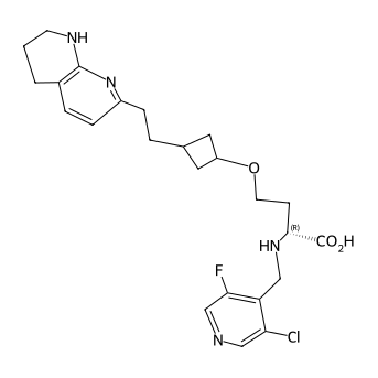 O=C(O)[C@@H](CCOC1CC(CCc2ccc3c(n2)NCCC3)C1)NCc1c(F)cncc1Cl